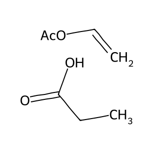 C=COC(C)=O.CCC(=O)O